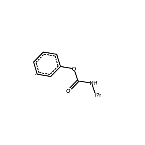 CC(C)NC(=O)Oc1c[c]ccc1